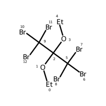 CCOC(OCC)(C(Br)(Br)Br)C(Br)(Br)Br